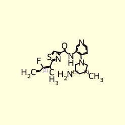 C=C/C(F)=C(\C)c1nc(C(=O)Nc2cnccc2N2C[C@H](C)C[C@H](N)C2)cs1